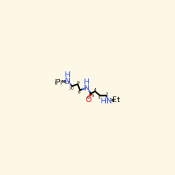 CCNCCCC(=O)NCCCNC(C)C